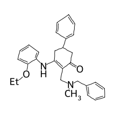 CCOc1ccccc1NC1=C(CN(C)Cc2ccccc2)C(=O)CC(c2ccccc2)C1